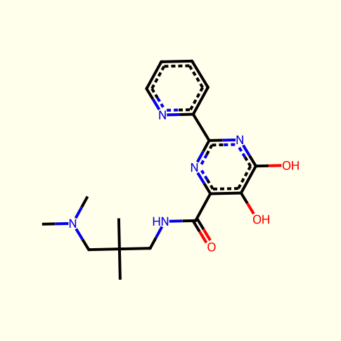 CN(C)CC(C)(C)CNC(=O)c1nc(-c2ccccn2)nc(O)c1O